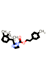 Cc1ccc(CCOC(=O)n2ccnc2[C@@H](C)c2cccc(C)c2C)cc1